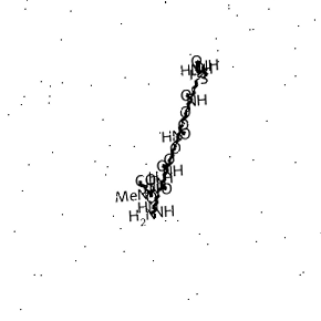 CN[C@@H](CCC(=O)O)C(=O)N[C@@H](CCCNC(=N)N)C(=O)NCCNC(=O)COCCOCCNC(=O)COCCOCCNC(=O)CCCC[C@@H]1SC[C@@H]2NC(=O)N[C@@H]21